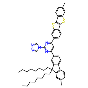 CCCCCCCCC1(CCCCCCCC)c2cc(C)ccc2-c2ccc(-c3cc(-c4ccc5c(c4)sc4c6ccc(C)cc6sc54)nc(-n4cnnc4)n3)cc21